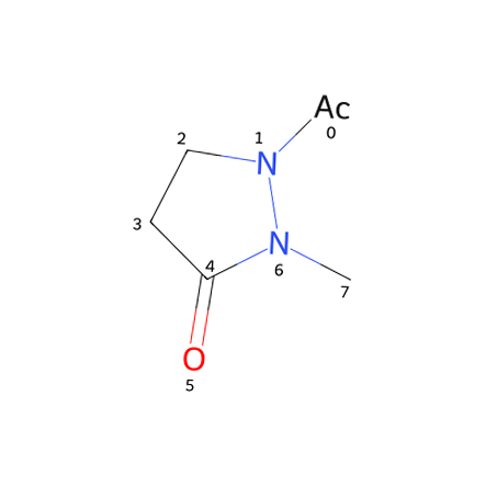 CC(=O)N1CCC(=O)N1C